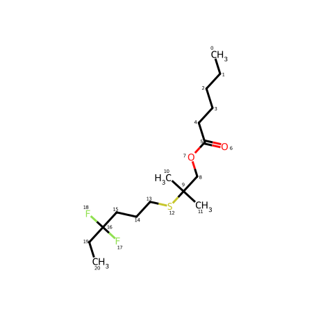 CCCCCC(=O)OCC(C)(C)SCCCC(F)(F)CC